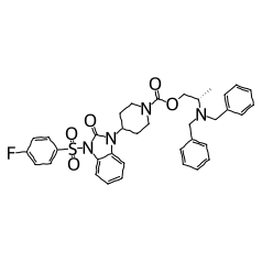 C[C@@H](COC(=O)N1CCC(n2c(=O)n(S(=O)(=O)c3ccc(F)cc3)c3ccccc32)CC1)N(Cc1ccccc1)Cc1ccccc1